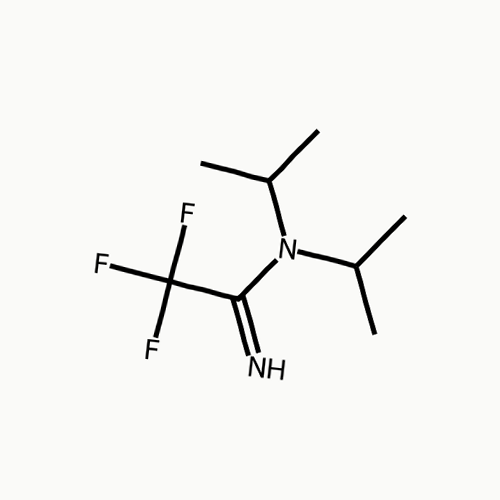 CC(C)N(C(=N)C(F)(F)F)C(C)C